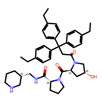 CCc1ccc(C(CC(=O)N2C[C@H](O)C[C@H]2C(=O)N2CCC[C@@H]2C(=O)NC[C@H]2CCCNC2)(c2ccc(CC)cc2)c2ccc(CC)cc2)cc1